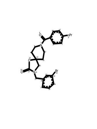 CCCc1ccc(C(=O)N2CCC3(CC2)CN(Cc2cccc(Br)c2)C(=O)O3)cc1